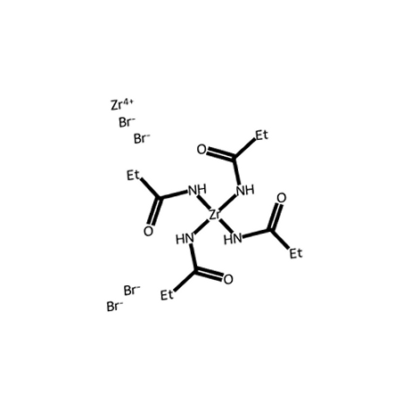 CCC(=O)[NH][Zr]([NH]C(=O)CC)([NH]C(=O)CC)[NH]C(=O)CC.[Br-].[Br-].[Br-].[Br-].[Zr+4]